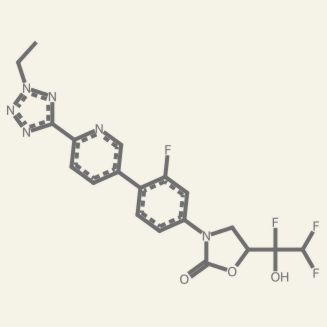 CCn1nnc(-c2ccc(-c3ccc(N4CC(C(O)(F)C(F)F)OC4=O)cc3F)cn2)n1